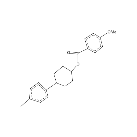 COc1ccc(C(=O)OC2CCC(c3ccc(C)cc3)CC2)cc1